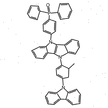 CC1CC(n2c3ccccc3c3ccccc32)=CC=C1n1c2ccccc2c2c1c1ccccc1n2-c1ccc(P(=O)(c2ccccc2)c2ccccc2)cc1